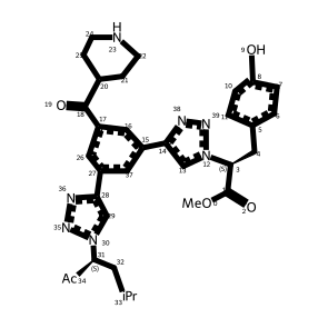 COC(=O)[C@H](Cc1ccc(O)cc1)n1cc(-c2cc(C(=O)C3CCNCC3)cc(-c3cn([C@@H](CC(C)C)C(C)=O)nn3)c2)nn1